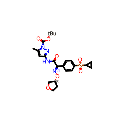 Cc1cc(NC(=O)/C(=N/O[C@@H]2CCOC2)c2ccc(S(=O)(=O)C3CC3)cc2)nn1C(=O)OC(C)(C)C